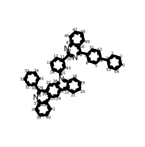 c1ccc(-c2ccc(-c3nc(-c4cccc(-n5c6ccccc6c6cc7c(cc65)c(-c5ccccc5)nc5ccccc57)c4)nc4ccccc34)cc2)cc1